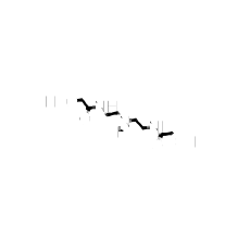 CCC(=O)NCCN(F)CCNC(=O)CC